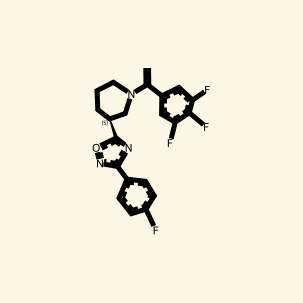 C=C(c1cc(F)c(F)c(F)c1)N1CCC[C@H](c2nc(-c3ccc(F)cc3)no2)C1